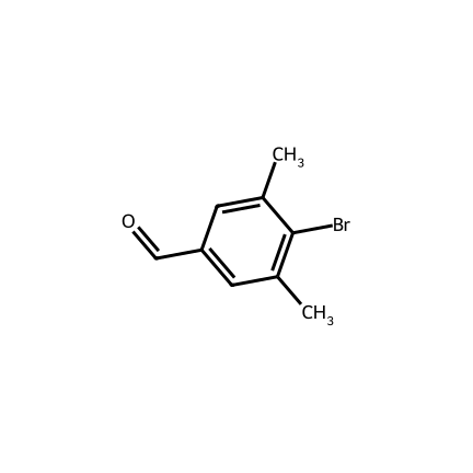 Cc1cc(C=O)cc(C)c1Br